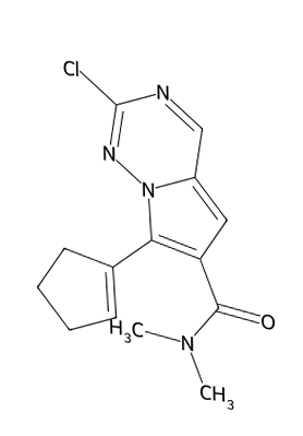 CN(C)C(=O)c1cc2cnc(Cl)nn2c1C1=CCCC1